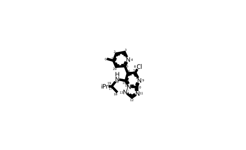 Cc1ccnc(-c2c(Cl)nc3ncnn3c2NC(C)C(C)C)c1